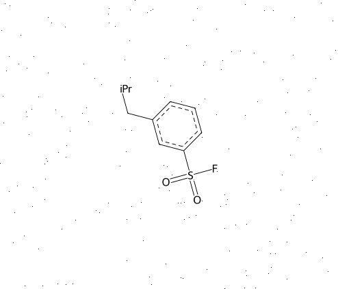 CC(C)Cc1cccc(S(=O)(=O)F)c1